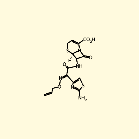 C=CCO/N=C(/C(=O)NC1C(=O)N2C(C(=O)O)=CCS[C@H]12)c1csc(N)n1